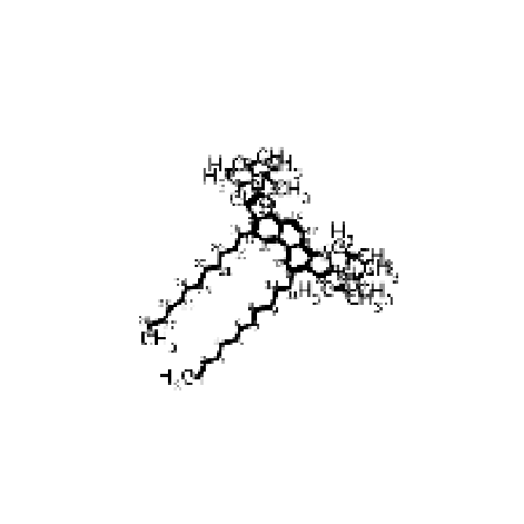 CCCCCCCCCCCCc1cc2c3cc(CCCCCCCCCCCC)c4cc([Si](C(C)C)(C(C)C)C(C)C)sc4c3ccc2c2sc([Si](C(C)C)(C(C)C)C(C)C)cc12